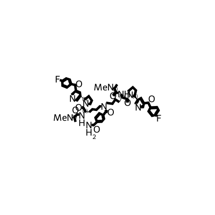 CN[C@@H](C)C(=O)N[C@@H](CCCCN(CCCC[C@H](NC(=O)[C@H](C)NC)C(=O)N1CCC[C@H]1c1cncc(C(=O)c2ccc(F)cc2)c1)C(=O)c1ccc(C(N)=O)cc1)C(=O)N1CCC[C@H]1c1cncc(C(=O)c2ccc(F)cc2)c1